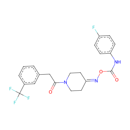 O=C(Nc1ccc(F)cc1)ON=C1CCN(C(=O)Cc2cccc(C(F)(F)F)c2)CC1